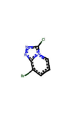 Clc1nnc2c(Br)cccn12